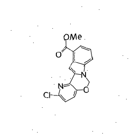 COC(=O)c1cccc2c1cc1n2COc2ccc(Cl)nc2-1